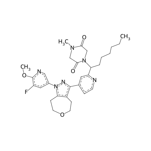 CCCCCCC(c1cc(-c2nn(-c3cnc(OC)c(F)c3)c3c2CCOCC3)ccn1)N1CC(=O)N(C)CC1=O